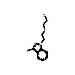 ClCCOCCn1nc(I)c2ccccc21